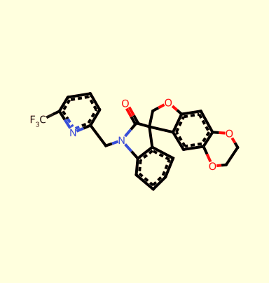 O=C1N(Cc2cccc(C(F)(F)F)n2)c2ccccc2C12COc1cc3c(cc12)OCCO3